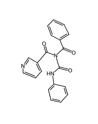 O=C(Nc1ccccc1)N(C(=O)c1ccccc1)C(=O)c1cccnc1